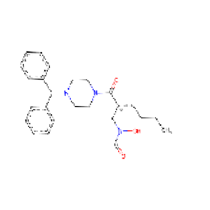 CCCC[C@H](CN(O)C=O)C(=O)N1CCN(C(c2ccccc2)c2ccccc2)CC1